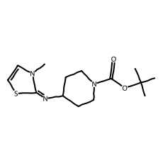 Cn1ccsc1=NC1CCN(C(=O)OC(C)(C)C)CC1